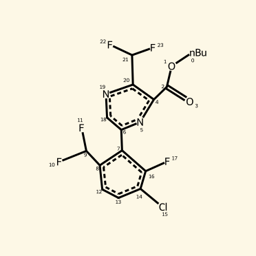 CCCCOC(=O)c1nc(-c2c(C(F)F)ccc(Cl)c2F)cnc1C(F)F